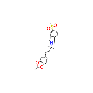 CC1Oc2ccc(CCC(C)(C)N3Cc4ccc(S(C)(=O)=O)cc4C3)cc2O1